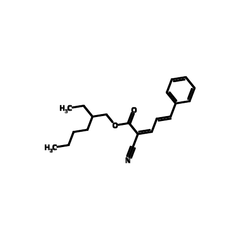 CCCCC(CC)COC(=O)C(C#N)=CC=Cc1ccccc1